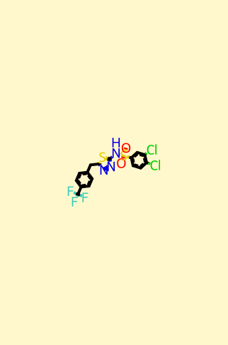 O=S(=O)(Nc1nnc(Cc2ccc(C(F)(F)F)cc2)s1)c1ccc(Cl)c(Cl)c1